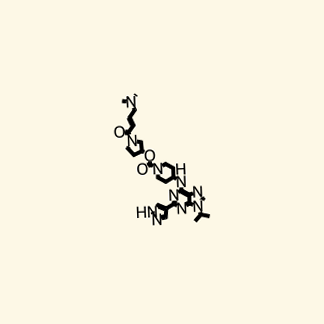 CC(C)n1cnc2c(NC3CCN(C(=O)OC4CCN(C(=O)C=CCN(C)C)C4)CC3)nc(-c3cn[nH]c3)nc21